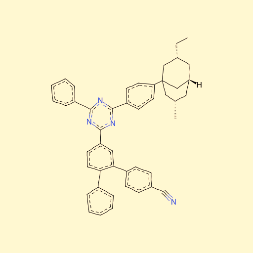 CC[C@@H]1C[C@@H]2C[C@H](C)CC(c3ccc(-c4nc(-c5ccccc5)nc(-c5ccc(-c6ccccc6)c(-c6ccc(C#N)cc6)c5)n4)cc3)(C1)C2